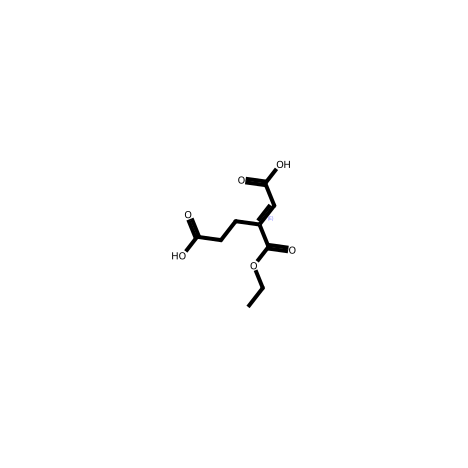 CCOC(=O)/C(=C/C(=O)O)CCC(=O)O